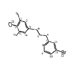 Cc1cc([CH]CCc2cccc(Br)c2)cc(C)c1Cl